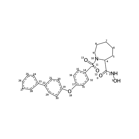 O=C(NO)C1CCCCCN1S(=O)(=O)c1ccc(Oc2ccc(-c3ccccc3)cc2)cc1